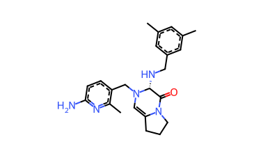 Cc1cc(C)cc(CN[C@@H]2C(=O)N3CCCC3=CN2Cc2ccc(N)nc2C)c1